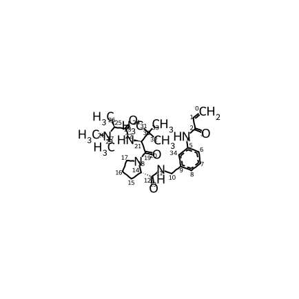 C=CC(=O)Nc1cccc(CNC(=O)[C@@H]2CCCN2C(=O)[C@@H](NC(=O)[C@H](C)N(C)C)C(C)(C)C)c1